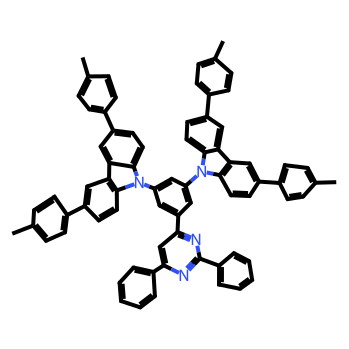 Cc1ccc(-c2ccc3c(c2)c2cc(-c4ccc(C)cc4)ccc2n3-c2cc(-c3cc(-c4ccccc4)nc(-c4ccccc4)n3)cc(-n3c4ccc(-c5ccc(C)cc5)cc4c4cc(-c5ccc(C)cc5)ccc43)c2)cc1